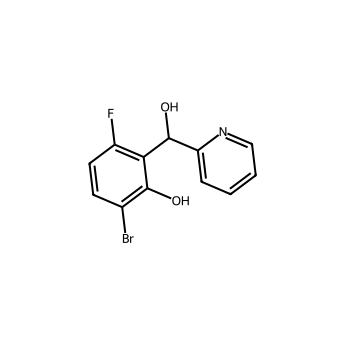 Oc1c(Br)ccc(F)c1C(O)c1ccccn1